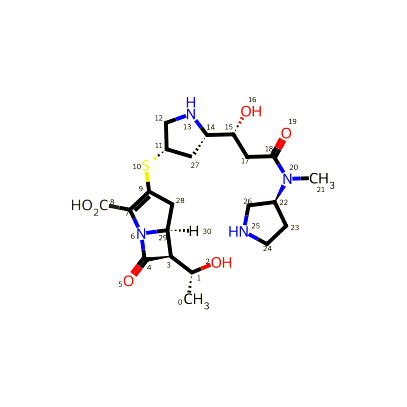 C[C@@H](O)[C@H]1C(=O)N2C(C(=O)O)=C(S[C@@H]3CN[C@H]([C@H](O)CC(=O)N(C)[C@H]4CCNC4)C3)C[C@@H]12